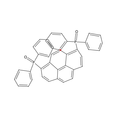 O=P(c1ccccc1)(c1ccccc1)c1ccc2ccc3ccc(P(=O)(c4ccccc4)c4ccccc4)c4ccc1c2c34